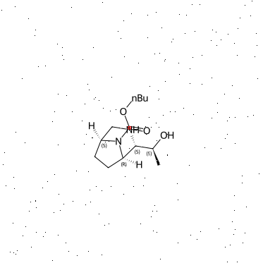 CCCCOC(=O)N1[C@H]2CC[C@@H]1[C@@H]([C@H](C)O)NC2